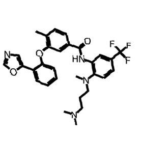 Cc1ccc(C(=O)Nc2cc(C(F)(F)F)ccc2N(C)CCCN(C)C)cc1Oc1ccccc1-c1cnco1